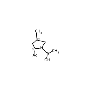 CB(O)N1C[C@H](C)C[C@H]1C(C)=O